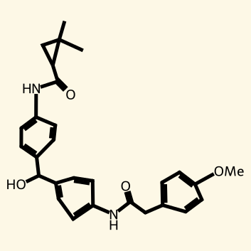 COc1ccc(CC(=O)Nc2ccc(C(O)c3ccc(NC(=O)C4CC4(C)C)cc3)cc2)cc1